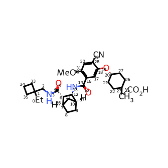 CCC1(CNC(=O)[C@H]2[C@@H]3CC[C@@H](C3)[C@H]2NC(=O)c2cc(O[C@H]3CC[C@@](C)(C(=O)O)CC3)c(C#N)cc2OC)CCC1